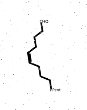 CCCCCCCC/C=C\CCC[C]=O